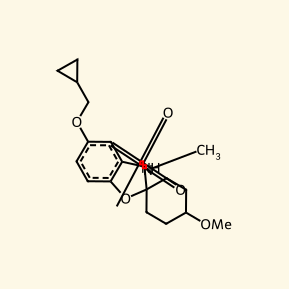 COC1CCC2(CC1)Oc1ccc(OCC3CC3)cc1C21NC(=O)N(C)C1=O